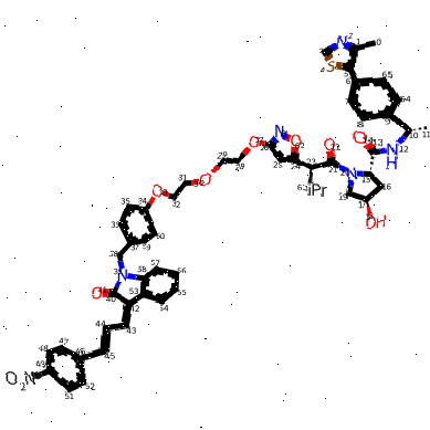 Cc1ncsc1-c1ccc([C@H](C)NC(=O)[C@@H]2C[C@@H](O)CN2C(=O)[C@H](c2cc(OCCOCCOc3ccc(CN4C(=O)/C(=C\C=C\c5ccc([N+](=O)[O-])cc5)c5ccccc54)cc3)no2)C(C)C)cc1